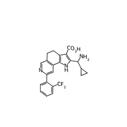 NC(c1[nH]c2c(c1C(=O)O)CCc1cnc(-c3ccccc3C(F)(F)F)cc1-2)C1CC1